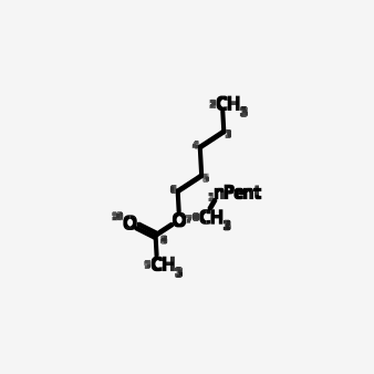 CCCCCC.CCCCCOC(C)=O